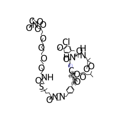 COc1ccc(C[C@H]2NC(=O)/C=C/C[C@@H]([C@H](C)[C@H]3O[C@@H]3c3ccc(CN4CCN(C(=O)CCC(C)(C)SCC(=O)NCCOCCOCCOCCOCCC(=O)ON5C(=O)CCC5=O)CC4)cc3)OC(=O)C(CC(C)C)OC(=O)C(C)(C)CNC2=O)cc1Cl